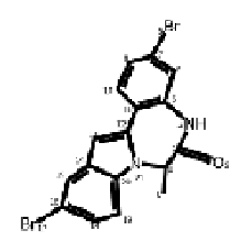 CC1C(=O)Nc2cc(Br)ccc2-c2cc3cc(Br)ccc3n21